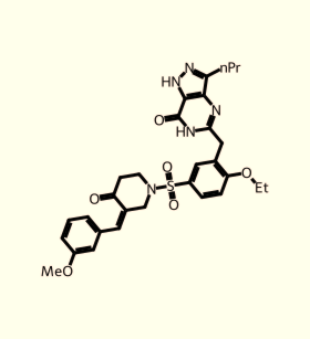 CCCc1n[nH]c2c(=O)[nH]c(Cc3cc(S(=O)(=O)N4CCC(=O)/C(=C\c5cccc(OC)c5)C4)ccc3OCC)nc12